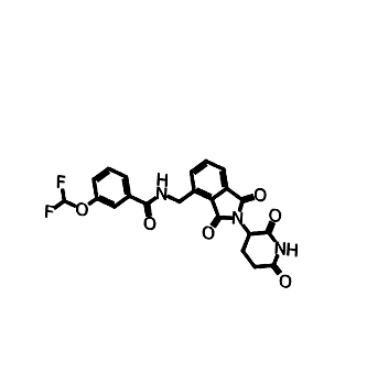 O=C1CCC(N2C(=O)c3cccc(CNC(=O)c4cccc(OC(F)F)c4)c3C2=O)C(=O)N1